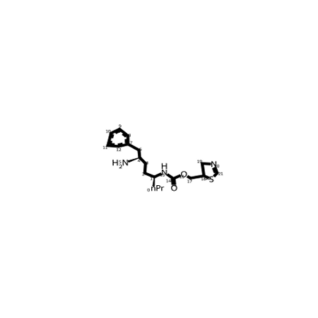 CCC[C@@H](CC[C@@H](N)Cc1ccccc1)NC(=O)OCC1CN=CS1